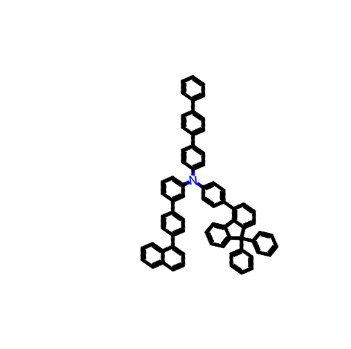 c1ccc(-c2ccc(-c3ccc(N(c4ccc(-c5cccc6c5-c5ccccc5C6(c5ccccc5)c5ccccc5)cc4)c4cccc(-c5ccc(-c6cccc7ccccc67)cc5)c4)cc3)cc2)cc1